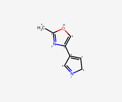 Cc1nc(C2=CCN=C2)co1